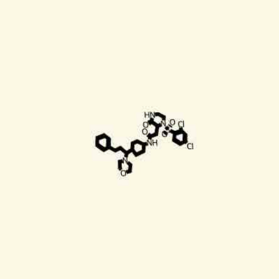 O=C(CC1C(=O)NCCN1S(=O)(=O)c1ccc(Cl)cc1Cl)NC1CCC(C(CCc2ccccc2)N2CCOCC2)CC1